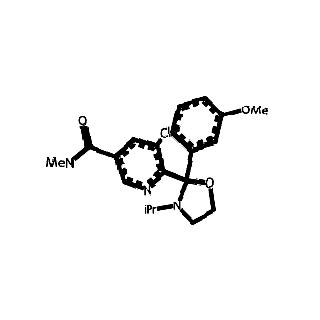 CNC(=O)c1cnc(C2(c3cccc(OC)c3)OCCN2C(C)C)c(Cl)c1